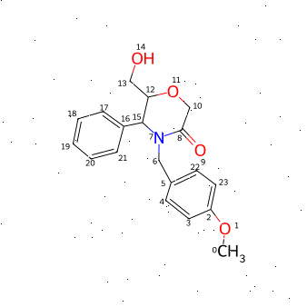 COc1ccc(CN2C(=O)COC(CO)C2c2ccccc2)cc1